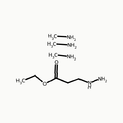 CCOC(=O)CCNN.CN.CN.CN